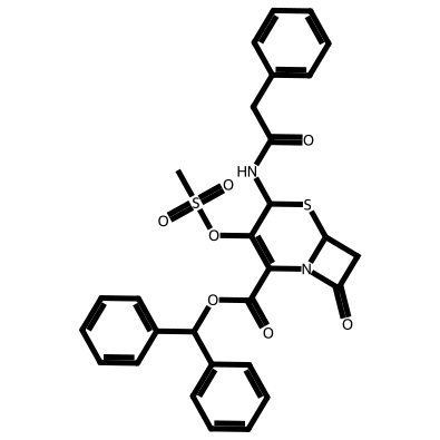 CS(=O)(=O)OC1=C(C(=O)OC(c2ccccc2)c2ccccc2)N2C(=O)CC2SC1NC(=O)Cc1ccccc1